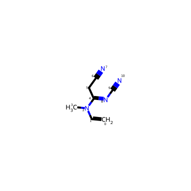 C=CN(C)C(CC#N)=NC#N